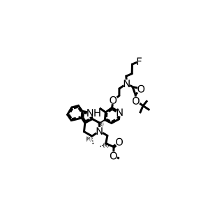 COC(=O)[C@H](C)CN1[C@H](c2ccnc(OCCN(CCCF)C3OC3OC(C)(C)C)c2C)c2[nH]c3ccccc3c2C[C@H]1C